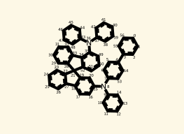 c1ccc(-c2ccc(N(c3ccccc3)c3ccc4c(c3)C3(c5ccccc5-4)c4ccccc4-c4c(N(c5ccccc5)c5ccccc5)cccc43)cc2)cc1